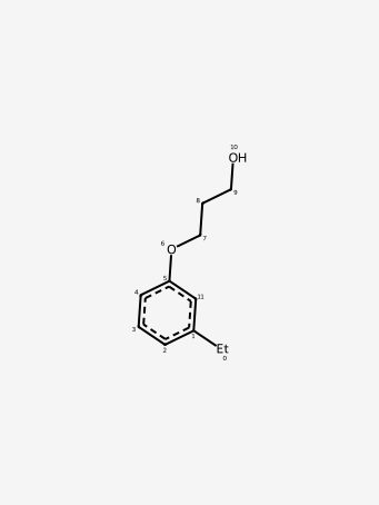 CCc1cccc(OCCCO)c1